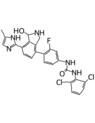 Cc1cnc(-c2ccc(-c3ccc(NC(=O)Nc4c(Cl)cccc4Cl)cc3F)c3c2C(O)NC3)[nH]1